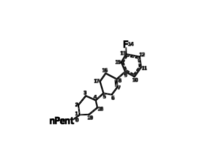 CCCCCC1CCC(C2CC=C(c3cccc(F)c3)CC2)CC1